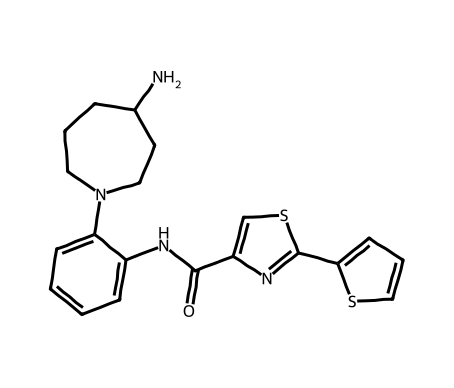 NC1CCCN(c2ccccc2NC(=O)c2csc(-c3cccs3)n2)CC1